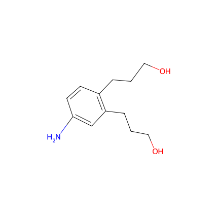 Nc1ccc(CCCO)c(CCCO)c1